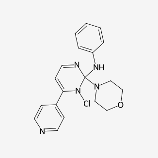 ClN1C(c2ccncc2)=CC=NC1(Nc1ccccc1)N1CCOCC1